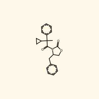 CC(C(=O)N1C(=O)OCC1Cc1ccccc1)(c1ccccc1)C1CC1